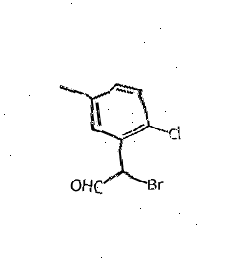 Cc1ccc(Cl)c(C(Br)C=O)c1